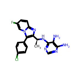 C[C@H](Nc1ncnc(N)c1N)c1nc2ccc(F)cn2c1-c1ccc(Cl)cc1